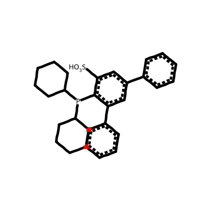 O=S(=O)(O)c1cc(-c2ccccc2)cc(-c2ccccc2)c1P(C1CCCCC1)C1CCCCC1